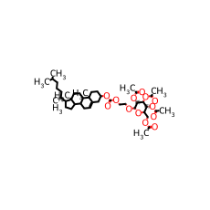 CC(=O)OCC1OC(OCCOC(=O)OC2CCC3(C)C(=CCC4C3CCC3(C)C4CCC3[C@H](C)CCCC(C)C)C2)[C@H](OC(C)=O)C(OC(C)=O)[C@@H]1OC(C)=O